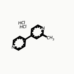 Cc1cc(-c2ccncc2)ccn1.Cl.Cl